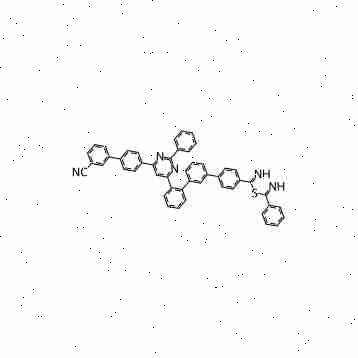 N#Cc1cccc(-c2ccc(-c3cc(-c4ccccc4-c4cccc(-c5ccc(C(=N)SC(=N)c6ccccc6)cc5)c4)nc(-c4ccccc4)n3)cc2)c1